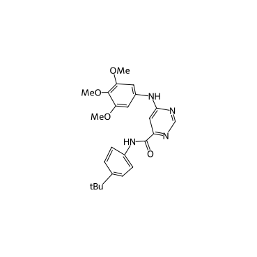 COc1cc(Nc2cc(C(=O)Nc3ccc(C(C)(C)C)cc3)ncn2)cc(OC)c1OC